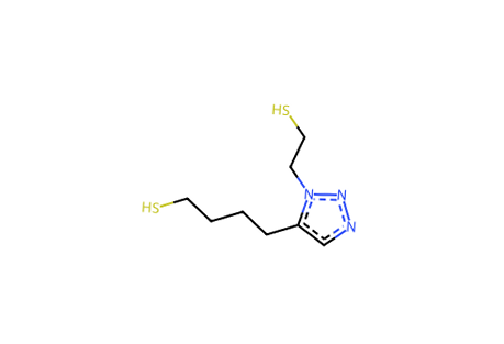 SCCCCc1cnnn1CCS